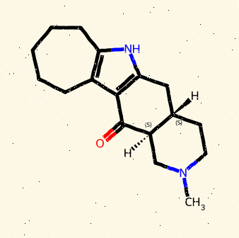 CN1CC[C@H]2Cc3[nH]c4c(c3C(=O)[C@@H]2C1)CCCCC4